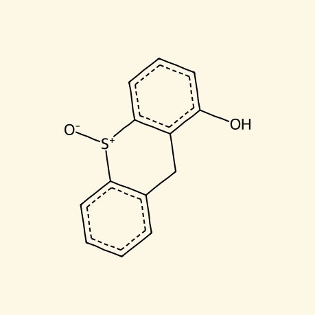 [O-][S+]1c2ccccc2Cc2c(O)cccc21